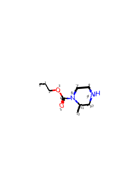 CCCOC(=O)N1CCNCC1C